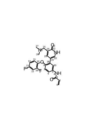 C=CC(=O)Nc1ccc(Oc2ccc(F)cc2F)c(-c2c[nH]c(=O)c(CN(C)C)c2)c1